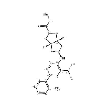 CC(C)(C)OC(=O)N1C[C@H]2C[C@H](Nc3nnc(-c4cnccc4C(F)(F)F)cc3C(F)F)C[C@H]2C1